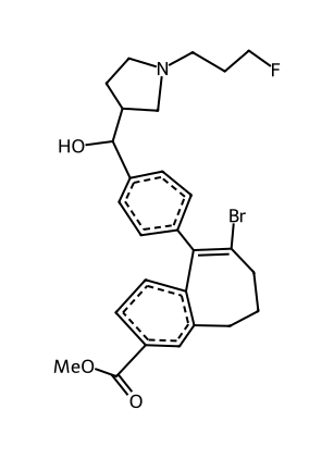 COC(=O)c1ccc2c(c1)CCCC(Br)=C2c1ccc(C(O)C2CCN(CCCF)C2)cc1